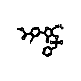 COC(=O)c1ccc(C2OC(N)=C(OS(=O)(=O)Cc3ccccc3)C2=O)cc1F